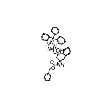 O=C(N[C@@H]1Cc2ccccc2[C@@](O)(Cc2nnn(C(c3ccccc3)(c3ccccc3)c3ccccc3)n2)C1)OCc1ccccc1